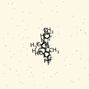 Cc1cc(C(F)(F)F)cc(O)c1-c1nnc(NC2CCCN(C)C2)c(C)c1C